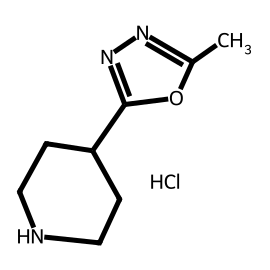 Cc1nnc(C2CCNCC2)o1.Cl